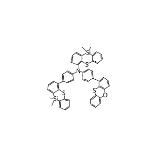 C[Si]1(C)c2ccccc2Sc2c(-c3ccc(N(c4ccc(-c5cccc6c5Sc5ccccc5O6)cc4)c4cccc5c4Sc4ccccc4[Si]5(C)C)cc3)cccc21